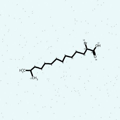 CC(C)CCCCCCCCCCC(Br)C(=O)O